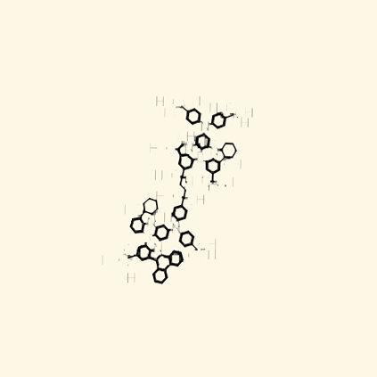 Cc1c(C)n2c3c(cc(C(C)(C)CCC(C)(C)c4ccc(N(c5ccc(C(C)(C)C)cc5)c5cc6c7c(c5)-n5c8c(cc(C(C)(C)C)cc8c8c9ccccc9c9ccccc9c85)B7c5cccc7c5N6C5(C)CCCCC75C)cc4)cc13)B1c3cc(C(C)(C)C)cc4c3N(c3cc(N(c5ccc(C(C)(C)C)cc5)c5ccc(C(C)(C)C)cc5)cc-2c31)C1(C)CCCCC41C